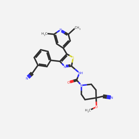 COC1(C#N)CCN(C(=O)Nc2nc(-c3cccc(C#N)c3)c(-c3cc(C)nc(C)c3)s2)CC1